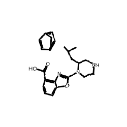 C1=CC2=CC=C1C2.CC(C)CC1CNCCN1c1nc2c(C(=O)O)cccc2o1